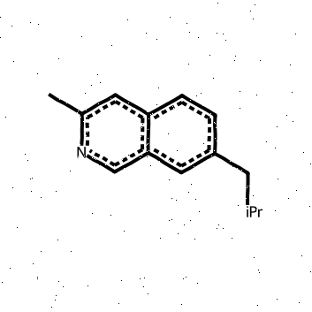 Cc1cc2ccc(CC(C)C)cc2cn1